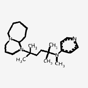 CN(c1ccncc1)C(C)(C)CCC(C)(C)N1CCCN2CCCCCC21